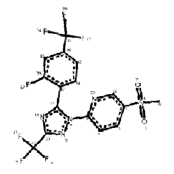 CS(=O)(=O)c1ccc(-n2nc(C(F)(F)F)nc2-c2ccc(C(F)(F)F)cc2F)nc1